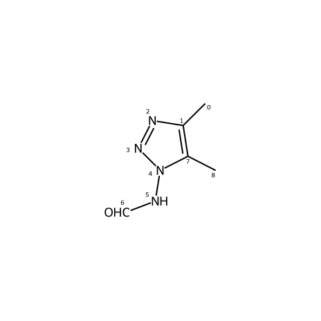 Cc1nnn(NC=O)c1C